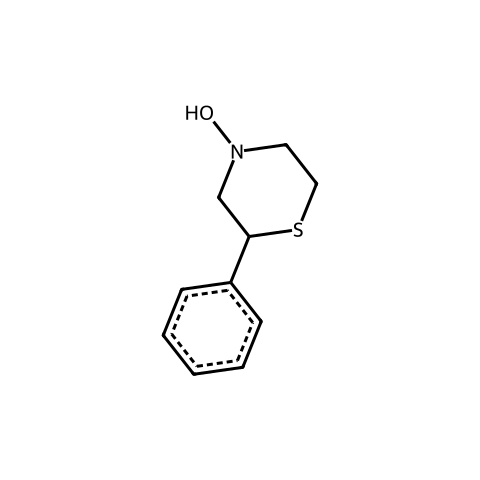 ON1CCSC(c2ccccc2)C1